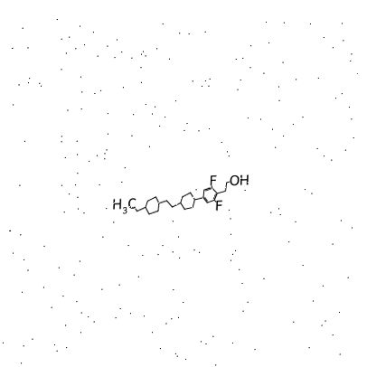 CCC1CCC(CCC2CCC(c3cc(F)c(CCO)c(F)c3)CC2)CC1